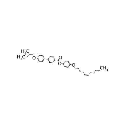 CCCCC/C=C\CCCCOc1ccc(OC(=O)c2ccc(-c3ccc(OC[C@@H](C)CC)cc3)cc2)cc1